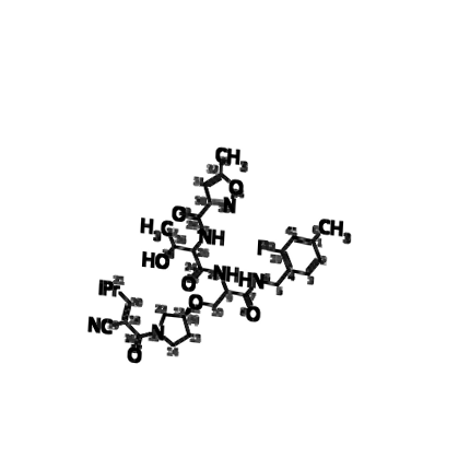 Cc1ccc(CNC(=O)C(CO[C@H]2CCN(C(=O)C(C#N)=CC(C)C)C2)NC(=O)C(NC(=O)c2cc(C)on2)C(C)O)c(F)c1